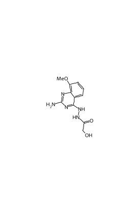 COc1cccc2c(NNC(=O)CO)nc(N)nc12